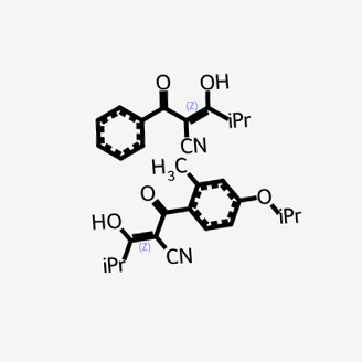 CC(C)/C(O)=C(\C#N)C(=O)c1ccccc1.Cc1cc(OC(C)C)ccc1C(=O)/C(C#N)=C(\O)C(C)C